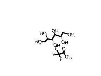 O=C(O)C(F)(F)F.OC[C@@H](O)[C@@H](O)[C@H](O)[C@@H](O)CO